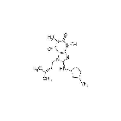 CC(C)=CCn1c(NC2CCC(N)C2)nc2c1c(=O)n(C)c(=O)n2C